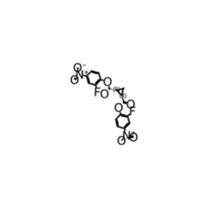 O=C(Oc1ccc([N+](=O)[O-])cc1F)[C@@H]1C[C@H]1C(=O)Oc1ccc([N+](=O)[O-])cc1F